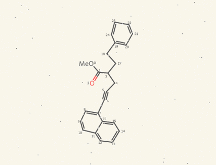 COC(=O)C(CC#Cc1cccc2ccccc12)CCc1ccccc1